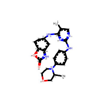 Cc1cnc(Nc2ccc(N3CCOCC3C#N)cc2)nc1Nc1ccc2oc(=O)[nH]c2c1